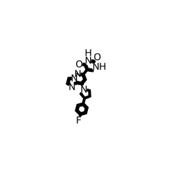 O=c1[nH]cc(-c2cc(N3CCC(c4ccc(F)cc4)C3)c3nccn3n2)c(=O)[nH]1